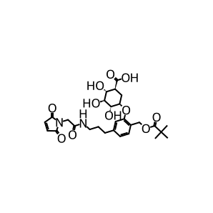 CC(C)(C)C(=O)OCc1ccc(CCCNC(=O)CN2C(=O)C=CC2=O)cc1O[C@@H]1C[C@H](C(=O)O)[C@@H](O)[C@H](O)[C@H]1O